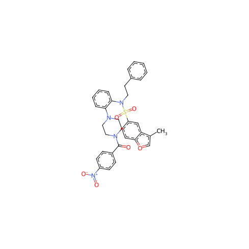 Cc1coc2ccc(S(=O)(=O)N(CCc3ccccc3)c3ccccc3N3CCN(C(=O)c4ccc([N+](=O)[O-])cc4)CC3)cc12